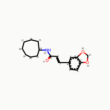 O=C(C=Cc1ccc2c(c1)OCO2)NC1CCCCCCC1